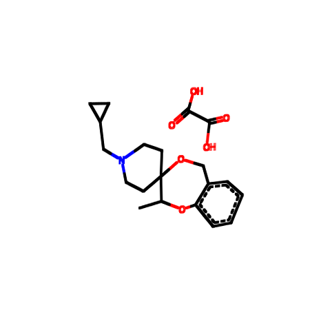 CC1Oc2ccccc2COC12CCN(CC1CC1)CC2.O=C(O)C(=O)O